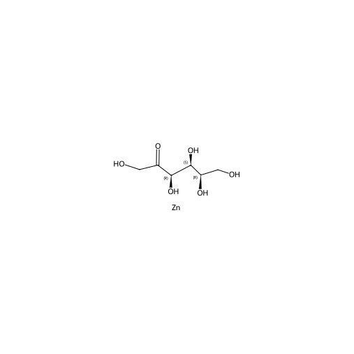 O=C(CO)[C@H](O)[C@@H](O)[C@H](O)CO.[Zn]